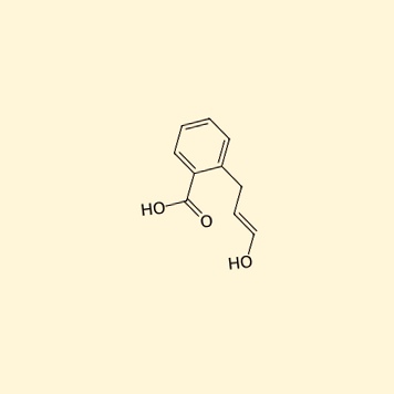 O=C(O)c1ccccc1CC=CO